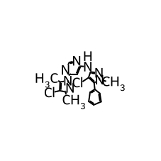 Cc1nn(-c2cc(Nc3nn(C)c(-c4ccccc4)c3Cl)ncn2)c(C)c1Cl